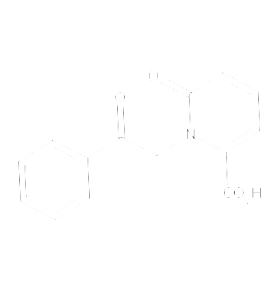 O=C(Cn1c(C(=O)O)cccc1=O)c1ccccc1